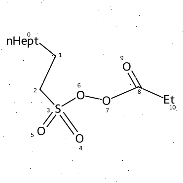 CCCCCCCCCS(=O)(=O)OOC(=O)CC